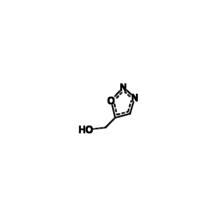 OCc1cnno1